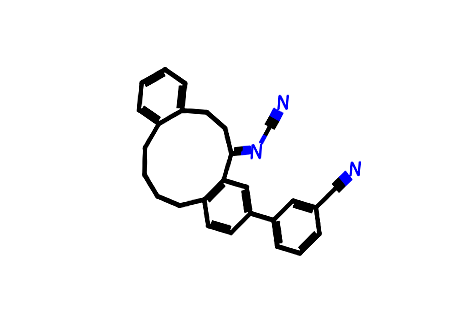 N#C/N=C1\CCc2ccccc2CCCCc2ccc(-c3cccc(C#N)c3)cc21